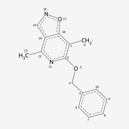 [CH2]c1c(OCc2ccccc2)nc(C)c2cnoc12